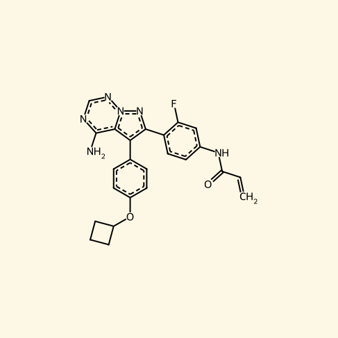 C=CC(=O)Nc1ccc(-c2nn3ncnc(N)c3c2-c2ccc(OC3CCC3)cc2)c(F)c1